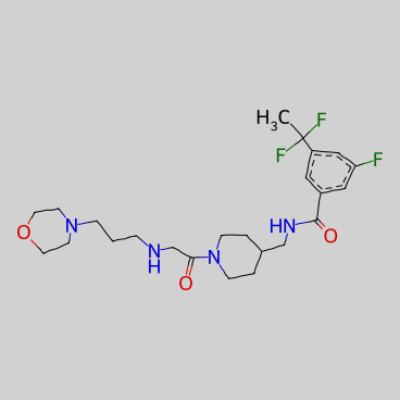 CC(F)(F)c1cc(F)cc(C(=O)NCC2CCN(C(=O)CNCCCN3CCOCC3)CC2)c1